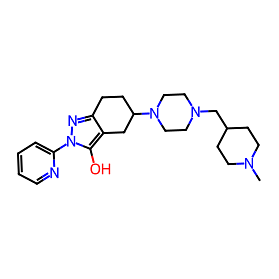 CN1CCC(CN2CCN(C3CCc4nn(-c5ccccn5)c(O)c4C3)CC2)CC1